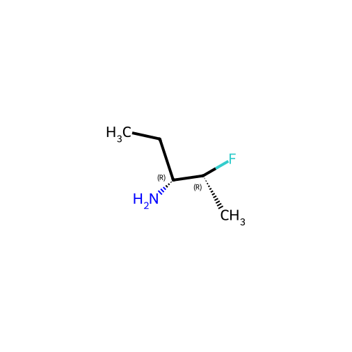 CC[C@@H](N)[C@@H](C)F